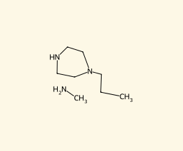 CCCN1CCNCC1.CN